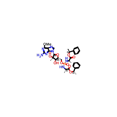 COc1nc(N)nc2c1ncn2[C@@H]1O[C@H](COP(=O)(N[C@@H](C)C(=O)O[C@@H](C)c2ccccc2)N[C@@H](C)C(=O)O[C@@H](C)c2ccccc2)[C@@H](O)[C@@]1(C)O